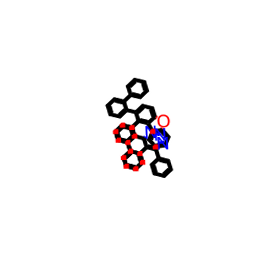 c1ccc(-c2ccccc2-c2ccc3oc4ccccc4c3c2-c2cccc(-c3ccccc3)c2-c2nnnc(-c3ccccc3)c2-c2ccccc2-c2ccccc2)cc1